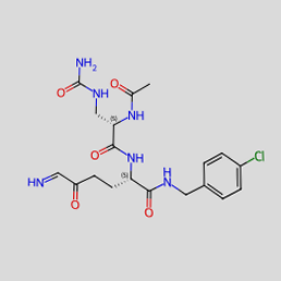 CC(=O)N[C@@H](CNC(N)=O)C(=O)N[C@@H](CCC(=O)C=N)C(=O)NCc1ccc(Cl)cc1